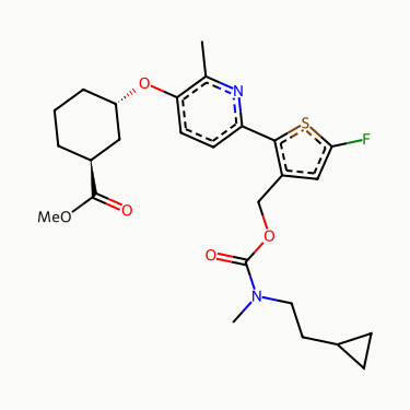 COC(=O)[C@H]1CCC[C@H](Oc2ccc(-c3sc(F)cc3COC(=O)N(C)CCC3CC3)nc2C)C1